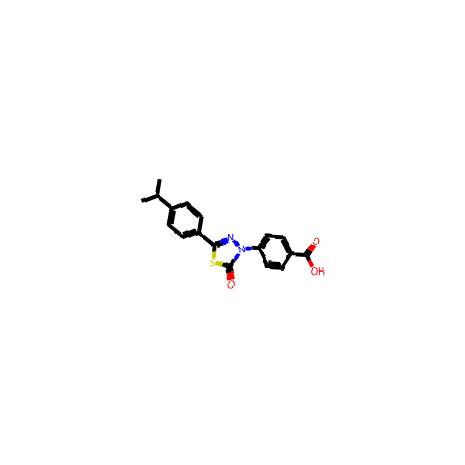 CC(C)c1ccc(-c2nn(-c3ccc(C(=O)O)cc3)c(=O)s2)cc1